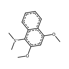 COc1cc(OC)c2ccccc2c1[S+](C)C